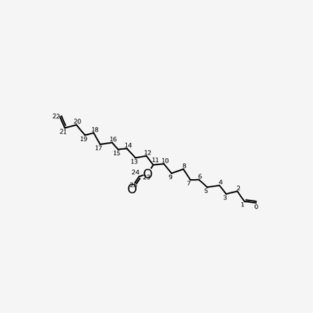 C=CCCCCCCCCCC(CCCCCCCCCC=C)OC=O